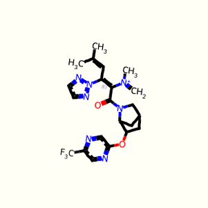 C=[N+](C)/C(C(=O)N1CC2CC(Oc3cnc(C(F)(F)F)cn3)C1C2)=C(\C=C(C)C)n1nccn1